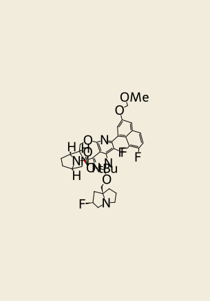 COCOc1cc(-c2nc3c4c(nc(OC[C@@]56CCCN5C[C@@H](F)C6)nc4c2F)N2C[C@@H]4CC[C@H]([C@@H]2CO3)N4C(=O)OC(C)(C)C)c2c(F)c(F)ccc2c1